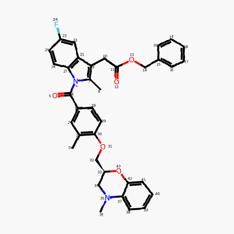 Cc1cc(C(=O)n2c(C)c(CC(=O)OCc3ccccc3)c3cc(F)ccc32)ccc1OC[C@@H]1CN(C)c2ccccc2O1